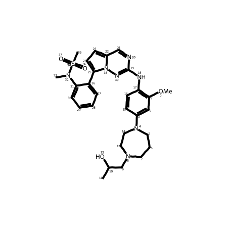 COc1cc(N2CCCN(CC(C)O)CC2)ccc1Nc1ncc2ccc(-c3ccccc3N(C)S(C)(=O)=O)n2n1